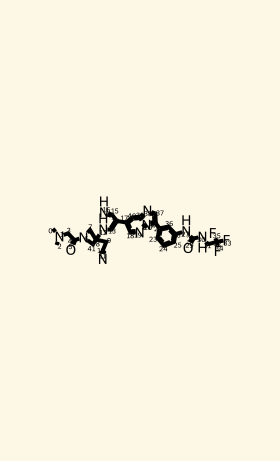 CN(C)CC(=O)N1CC(CC#N)(N/C=C(\C=N)c2cnn3c(-c4cccc(NC(=O)NCC(F)(F)F)c4)cnc3c2)C1